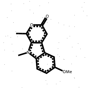 COc1ccc2c(c1)c1cc(=O)oc(C)c1n2C